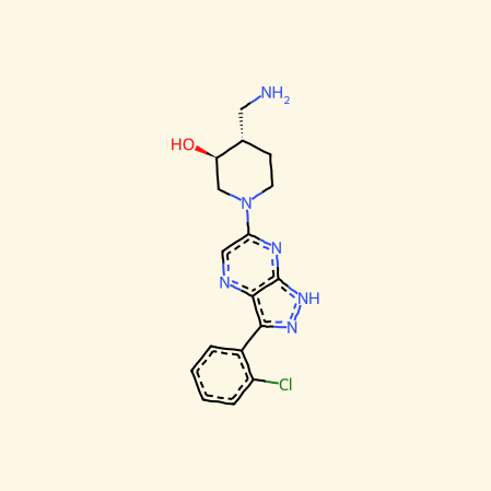 NC[C@@H]1CCN(c2cnc3c(-c4ccccc4Cl)n[nH]c3n2)C[C@H]1O